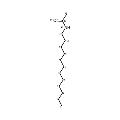 CCCCCCCCCCCCNC(C)=O